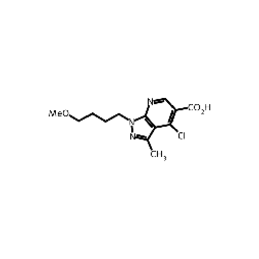 COCCCCn1nc(C)c2c(Cl)c(C(=O)O)cnc21